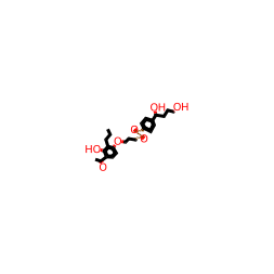 CCCc1c(OCCCS(=O)(=O)c2ccc(C(O)CCCO)cc2)ccc(C(C)=O)c1O